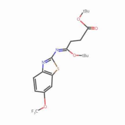 CC(C)(C)OC(=O)CCC(=Nc1nc2ccc(OC(F)(F)F)cc2s1)OC(C)(C)C